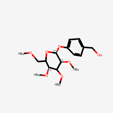 CCCCOCC1O[C@@H](Oc2ccc(CO)cc2)[C@@H](OCCCC)C(OCCCC)[C@H]1OCCCC